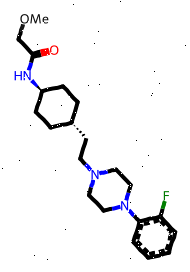 COCC(=O)N[C@H]1CC[C@H](CCN2CCN(c3ccccc3F)CC2)CC1